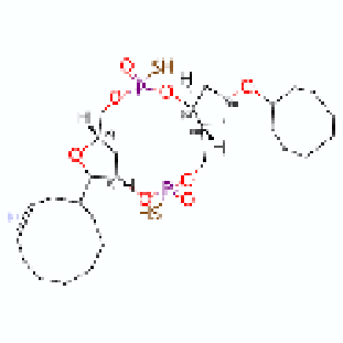 O=P1(S)OC[C@@H]2C[C@@H](OP(=O)(S)OC[C@H]3C[C@@H](OC4CCCCCCC4)C[C@@H]3O1)C(C1C/C=C\CCCCCC1)O2